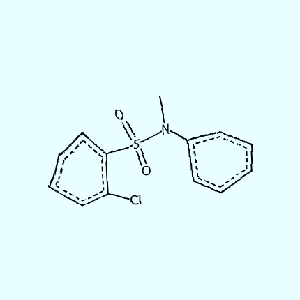 CN(c1ccccc1)S(=O)(=O)c1ccccc1Cl